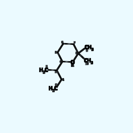 CCC(C)C1CCCC(C)(C)O1